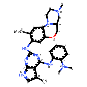 COc1cc2c(cc1Nc1nc(Nc3ccccc3N(C)C)c3c(C#N)c[nH]c3n1)OCC1CN(C)CCN21